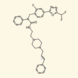 O=C(NCCN1CCN(C/C=C/c2ccccc2)CC1)N(Cc1ccc(-c2nnc(C(F)F)o2)cc1F)c1ccccc1